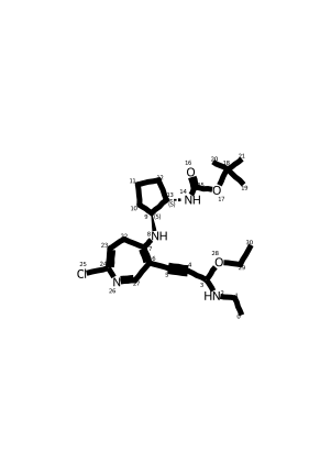 CCNC(C#CC1=C(N[C@H]2CCC[C@@H]2NC(=O)OC(C)(C)C)CC=C(Cl)N=C1)OCC